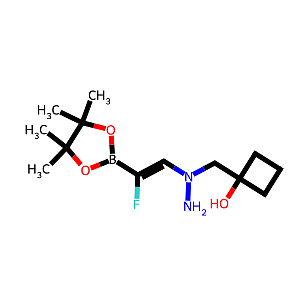 CC1(C)OB(/C(F)=C/N(N)CC2(O)CCC2)OC1(C)C